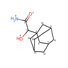 NC(=O)C(O)C12CC3CC(CC(C3)C1)C2